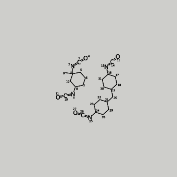 CC1(N=C=O)CCCC(N=C=O)C1.O=C=NC1CCC(CC2CCC(N=C=O)CC2)CC1